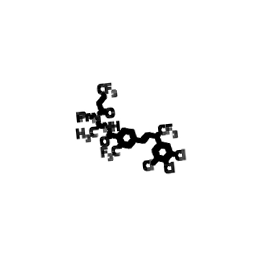 CC(C)N(C(=O)CCC(F)(F)F)[C@@H](C)NC(=O)c1ccc(/C=C/C(c2cc(Cl)c(Cl)c(Cl)c2)C(F)(F)F)cc1C(F)(F)F